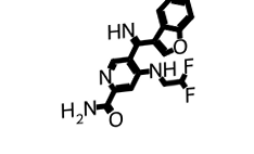 N=C(c1cnc(C(N)=O)cc1NCC(F)F)c1coc2ccccc12